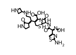 Nc1nc(C(=NO)C(=O)N[C@@H]2C(=O)N3C(C(=O)O)=C(C(CCNC4CNC4)=C4CCNC4=O)CS[C@H]23)cs1